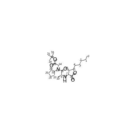 CCCCCC1CC(N[C@@H](C)C(=O)N(CC(=O)OC(C)(C)C)C2CCCC2)C(=O)O1